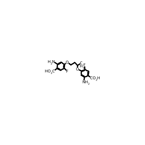 CC(CCOc1cc(N)c(C(=O)O)cc1F)Oc1cc(N)c(C(=O)O)cc1F